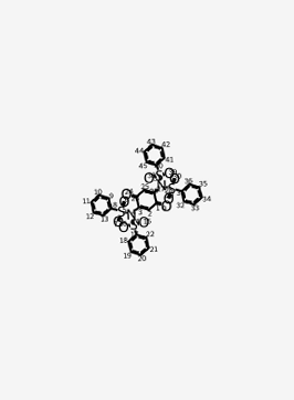 O=C1C=C(N(S(=O)(=O)c2ccccc2)S(=O)(=O)c2ccccc2)C(=O)C=C1N(S(=O)(=O)c1ccccc1)S(=O)(=O)c1ccccc1